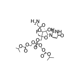 C=C1NC(=O)C=CN1[C@@H]1O[C@](CF)(COP(=O)(OCOC(=O)OC(C)C)OCOC(=O)OC(C)C)[C@@H](OC(=O)CN)[C@@]1(C)O